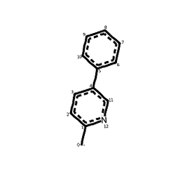 [CH2]c1ccc(-c2ccccc2)cn1